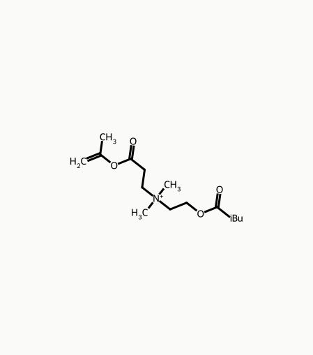 C=C(C)OC(=O)CC[N+](C)(C)CCOC(=O)C(C)CC